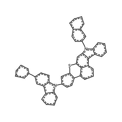 c1ccc(-c2ccc3c(c2)c2ccccc2n3-c2ccc3c(c2)Sc2cc4c(c5cccc-3c25)c2ccccc2n4-c2ccc3ccccc3c2)cc1